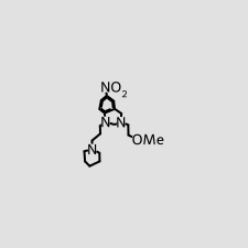 COCCN1Cc2cc([N+](=O)[O-])ccc2N(CCCN2CCCCC2)C1